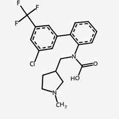 CN1CCC(CN(C(=O)O)c2ccccc2-c2cc(Cl)cc(C(F)(F)F)c2)C1